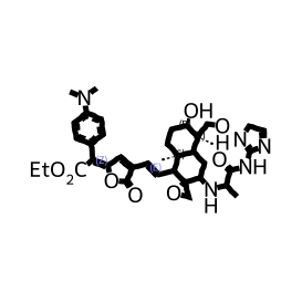 CCOC(=O)/C(=C1C=C(/C=C/C2C3(CO3)C(NC(C)C(=O)NC3=NCC=N3)CC3[C@]2(C)CC[C@@H](O)[C@@]3(C)CO)C(=O)O/1)c1ccc(N(C)C)cc1